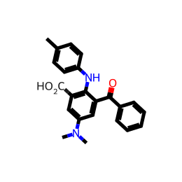 Cc1ccc(Nc2c(C(=O)O)cc(N(C)C)cc2C(=O)c2ccccc2)cc1